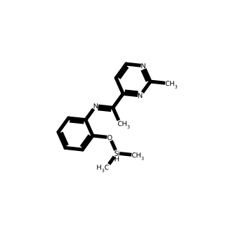 CC(=Nc1ccccc1O[SiH](C)C)c1ccnc(C)n1